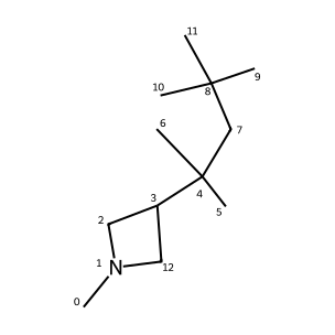 CN1CC(C(C)(C)CC(C)(C)C)C1